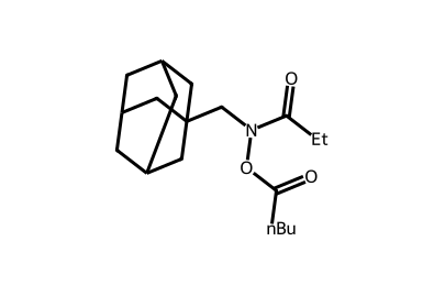 CCCCC(=O)ON(CC12CC3CC(CC(C3)C1)C2)C(=O)CC